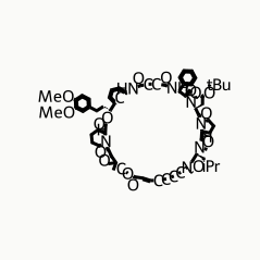 COc1ccc(CC[C@H]2OC(=O)[C@@H]3CCCCN3C(=O)C(=O)C(C)(C)COC(=O)/C=C/CCCCN(C)C(=O)[C@H](CC(C)C)N(C)C(=O)[C@H]3CCCN3C(=O)[C@H](CC(=O)OC(C)(C)C)N(C)C(=O)C(c3ccccc3)NC(=O)CCC(=O)Nc3cccc2c3)cc1OC